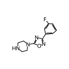 Fc1cccc(-c2noc(N3CCNCC3)n2)c1